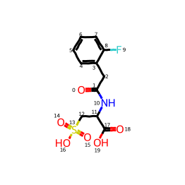 O=C(Cc1ccccc1F)NC(CS(=O)(=O)O)C(=O)O